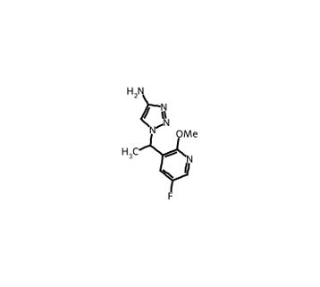 COc1ncc(F)cc1C(C)n1cc(N)nn1